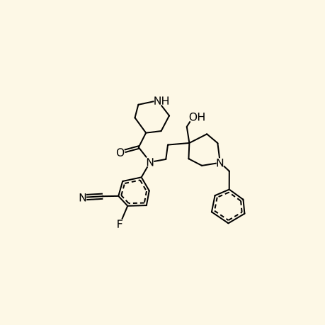 N#Cc1cc(N(CCC2(CO)CCN(Cc3ccccc3)CC2)C(=O)C2CCNCC2)ccc1F